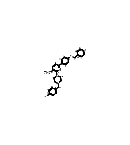 O=Cc1ccc(-c2ccc(OCc3ccccc3)cc2)nc1N1CCN(Cc2ccc(F)cc2)CC1